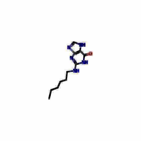 CCCCCCNc1nc2nc[nH]c2c(=O)[nH]1